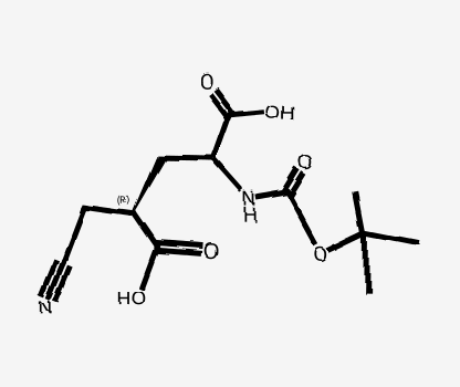 CC(C)(C)OC(=O)NC(C[C@H](CC#N)C(=O)O)C(=O)O